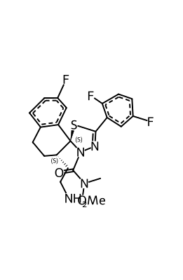 CON(C)C(=O)N1N=C(c2cc(F)ccc2F)S[C@@]12c1cc(F)ccc1CC[C@H]2CCN